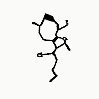 CCCCC(Cl)C1C2=C(OC1C)C(F)C#CC(C)CC2